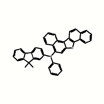 CC1(C)c2ccccc2-c2ccc(N(c3ccccc3)c3cc4oc5c6ccccc6ccc5c4c4ccccc34)cc21